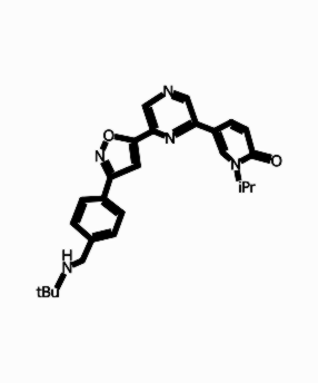 CC(C)n1cc(-c2cncc(-c3cc(-c4ccc(CNC(C)(C)C)cc4)no3)n2)ccc1=O